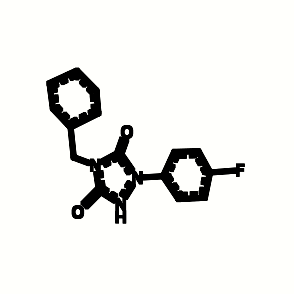 O=c1[nH]n(-c2ccc(F)cc2)c(=O)n1Cc1ccccc1